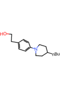 CCCCC1CCN(c2ccc(CCO)cc2)CC1